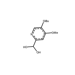 COc1cc(C(O)O)ncc1OCC(C)C